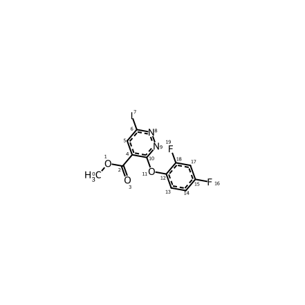 COC(=O)c1cc(I)nnc1Oc1ccc(F)cc1F